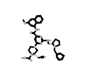 COc1cc(NC(=O)c2cc(N3CCN(C(=O)O)[C@@H](CC#N)C3)nc(NC[C@@H]3CCCN3Cc3ccccc3)n2)c2ccccc2c1